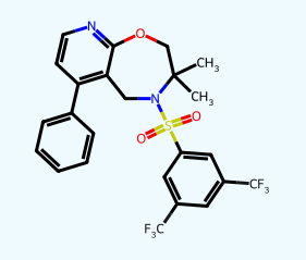 CC1(C)COc2nccc(-c3ccccc3)c2CN1S(=O)(=O)c1cc(C(F)(F)F)cc(C(F)(F)F)c1